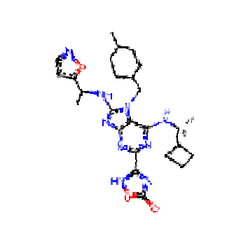 CC1CCC(Cn2c(NC(C)c3ccno3)nc3nc(-c4nc(=O)o[nH]4)nc(N[C@H](C)C4CCC4)c32)CC1